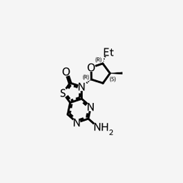 CC[C@H]1O[C@@H](n2c(=O)sc3cnc(N)nc32)C[C@@H]1C